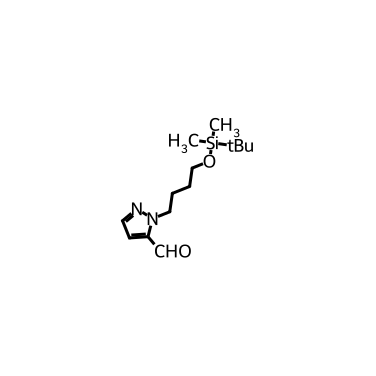 CC(C)(C)[Si](C)(C)OCCCCn1nccc1C=O